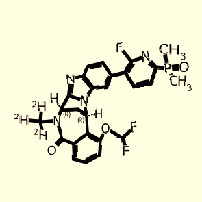 [2H]C([2H])([2H])N1C(=O)c2cccc(OC(F)F)c2[C@H]2C[C@@H]1c1nc3ccc(-c4ccc(P(C)(C)=O)nc4F)cc3n12